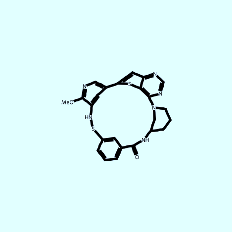 COc1ncc2cc1NSc1cccc(c1)C(=O)NC1CCCN(C1)c1ncnc3cc-2sc13